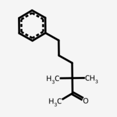 CC(=O)C(C)(C)CCCc1ccccc1